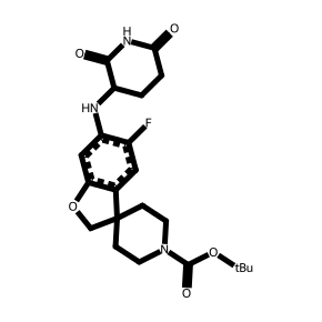 CC(C)(C)OC(=O)N1CCC2(CC1)COc1cc(NC3CCC(=O)NC3=O)c(F)cc12